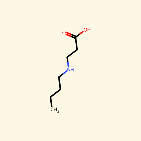 CCCCNCCC(=O)O